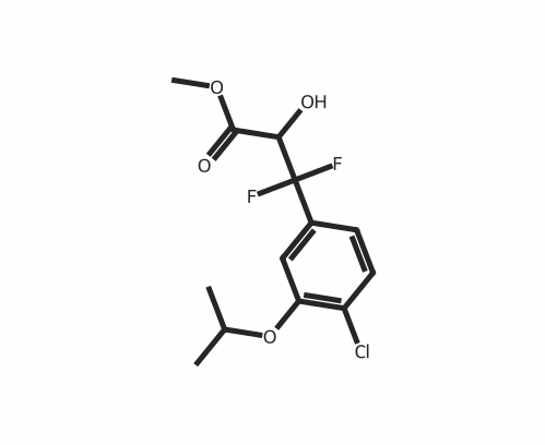 COC(=O)C(O)C(F)(F)c1ccc(Cl)c(OC(C)C)c1